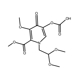 COC(=O)c1c(OC)c(=O)c(OC(=O)O)cn1CC(OC)OC